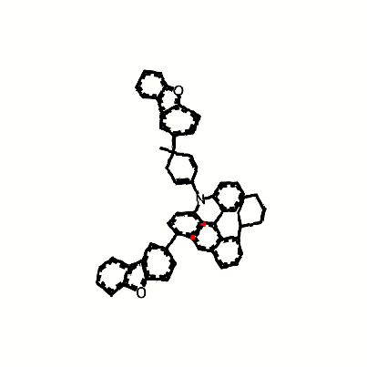 CC1(c2ccc3oc4ccccc4c3c2)C=CC(N(c2ccc(-c3ccc4oc5ccccc5c4c3)cc2)c2ccccc2-c2cccc3cccc(C4CCCCC4)c23)=CC1